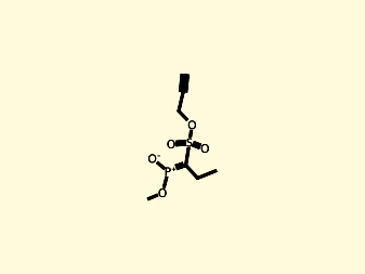 C#CCOS(=O)(=O)/C(CC)=[P+](\[O-])OC